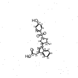 C[C@@H]1CN(S(=O)(=O)c2ccc(O)cn2)C[C@@H]1n1nc(CC(=O)O)c2ccccc21